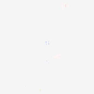 O=C1C(N2CCC(c3ccc(O)cc3)C(F)C2)CCN1Cc1ccc(Cl)c(F)c1